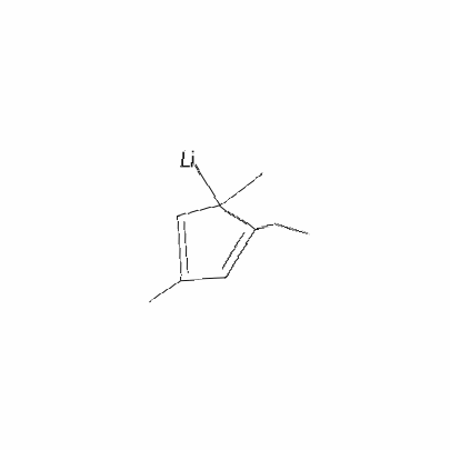 [Li][C]1(C)C=C(C)C=C1C